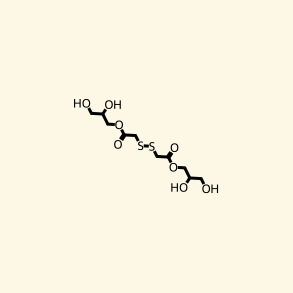 O=C(CSSCC(=O)OCC(O)CO)OCC(O)CO